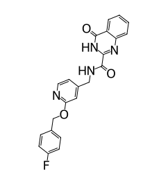 O=C(NCc1ccnc(OCc2ccc(F)cc2)c1)c1nc2ccccc2c(=O)[nH]1